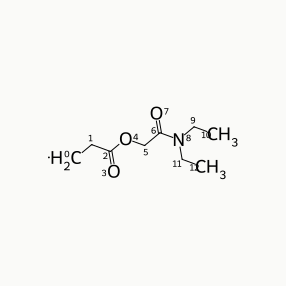 [CH2]CC(=O)OCC(=O)N(CC)CC